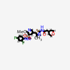 COc1ncc(-c2sc(NC(=O)CC3CCOCC3)nc2C)cc1S(=O)(=O)Nc1ccc(F)cc1F